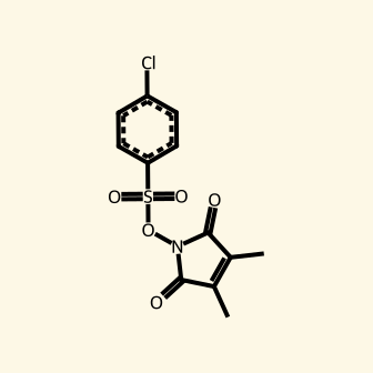 CC1=C(C)C(=O)N(OS(=O)(=O)c2ccc(Cl)cc2)C1=O